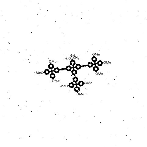 COc1ccc(C(c2ccc(C#Cc3ccc(C(c4ccc(C#Cc5ccc(C(c6ccc(OC)cc6)(c6ccc(OC)cc6)c6ccc(OC)cc6)cc5)cc4)(c4ccc(-c5ccc(C(c6ccc(OC)cc6)(c6ccc(OC)cc6)c6ccc(OC)cc6)cc5)cc4)c4ccc([Si](C)(C)C)cc4)cc3)cc2)(c2ccc(OC)cc2)c2ccc(OC)cc2)cc1